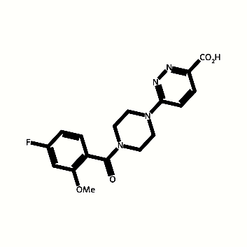 COc1cc(F)ccc1C(=O)N1CCN(c2ccc(C(=O)O)nn2)CC1